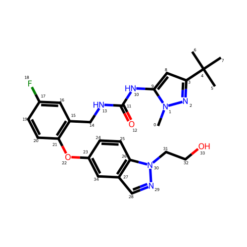 Cn1nc(C(C)(C)C)cc1NC(=O)NCc1cc(F)ccc1Oc1ccc2c(cnn2CCO)c1